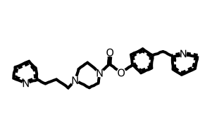 O=C(Oc1ccc(Cc2ccccn2)cc1)N1CCN(CCCc2ccccn2)CC1